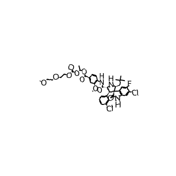 COCCOCCOC(=O)OC(C)OC(=O)c1ccc(NC(=O)[C@@H]2N[C@@H](CC(C)(C)C)[C@@]3(C(=O)Nc4cc(Cl)c(F)cc43)[C@H]2c2cccc(Cl)c2)c(OC)c1